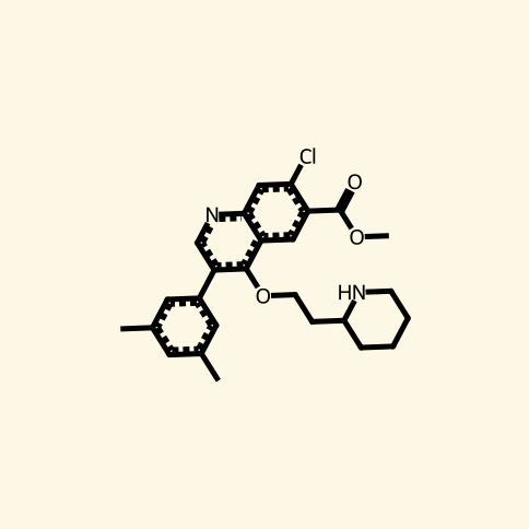 COC(=O)c1cc2c(OCCC3CCCCN3)c(-c3cc(C)cc(C)c3)cnc2cc1Cl